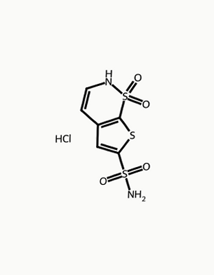 Cl.NS(=O)(=O)c1cc2c(s1)S(=O)(=O)NC=C2